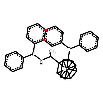 C[C@H](NP(c1ccccc1)c1ccccc1)[C@]12[CH]3[CH]4[CH]5[C]1(P(c1ccccc1)c1ccccc1)[Fe]45321678[CH]2[CH]1[CH]6[CH]7[CH]28